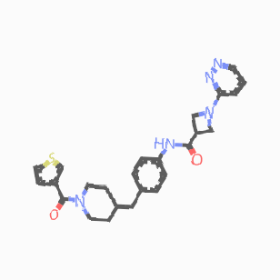 O=C(Nc1ccc(CC2CCN(C(=O)c3ccsc3)CC2)cc1)C1CN(c2cccnn2)C1